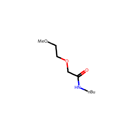 CCCCNC(=O)COCCOC